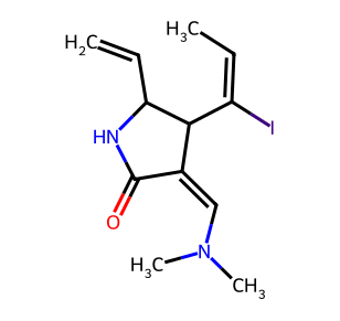 C=CC1NC(=O)/C(=C\N(C)C)C1/C(I)=C\C